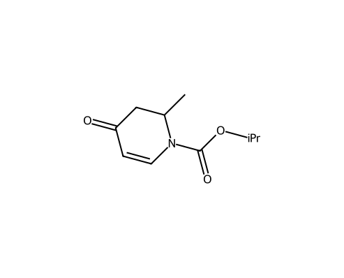 CC(C)OC(=O)N1C=CC(=O)CC1C